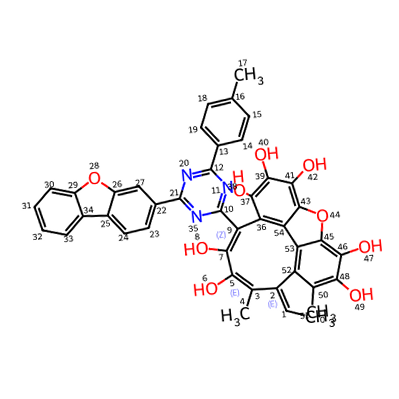 C/C=C1/C(C)=C(O)\C(O)=C(\c2nc(-c3ccc(C)cc3)nc(-c3ccc4c(c3)oc3ccccc34)n2)c2c(O)c(O)c(O)c3oc4c(O)c(O)c(C)c1c4c23